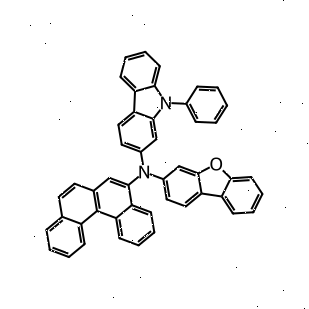 c1ccc(-n2c3ccccc3c3ccc(N(c4ccc5c(c4)oc4ccccc45)c4cc5ccc6ccccc6c5c5ccccc45)cc32)cc1